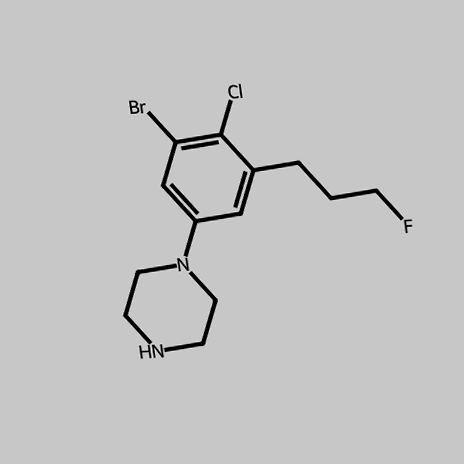 FCCCc1cc(N2CCNCC2)cc(Br)c1Cl